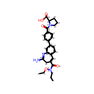 CCCN(OCC)C(=O)C1=Cc2ccc(-c3ccc(C(=O)N4CCCC4C(=O)O)cc3)cc2N=C(N)C1